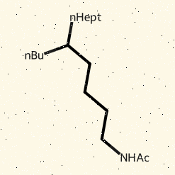 CCCCCCCC(CCCC)CCCCNC(C)=O